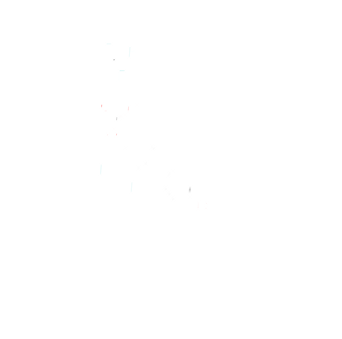 CCCCCCCCCOc1ccc(-c2ccc(OC(=O)OCCC(CCCC)C(F)(F)F)c(F)c2F)cc1